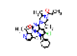 C=CC(=O)N1CC(C)N(c2nc(=O)n(-c3c(C)ccnc3C(C)C)c3nc(C4=CCCCCC4)c(Cl)cc23)CC1C